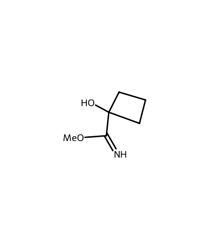 COC(=N)C1(O)CCC1